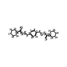 S=C(SSCc1ccc(CSSC(=S)N2CCCCC2)cc1)N1CCCCC1